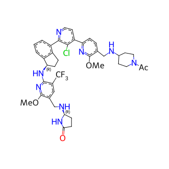 COc1nc(-c2ccnc(-c3cccc4c3CC[C@H]4Nc3nc(OC)c(CN[C@H]4CCC(=O)N4)cc3C(F)(F)F)c2Cl)ccc1CNC1CCN(C(C)=O)CC1